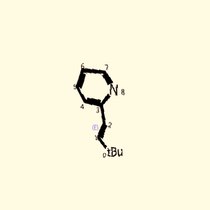 CC(C)(C)/C=C/c1ccccn1